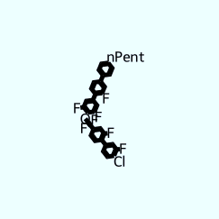 CCCCCc1ccc(-c2ccc(-c3cc(F)c(OC(F)(F)c4ccc(-c5ccc(Cl)c(F)c5)c(F)c4)c(F)c3)c(F)c2)cc1